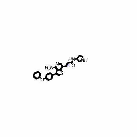 Nc1ncc(/C=C/C(=O)NC2CCNC2)c2scc(-c3ccc(Oc4ccccc4)cc3)c12